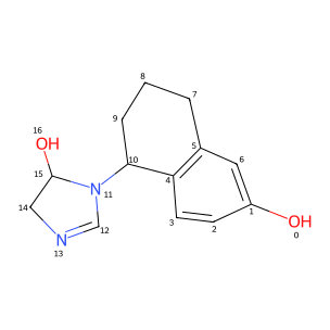 Oc1ccc2c(c1)CCCC2N1C=NCC1O